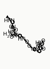 NC(=O)c1nn(-c2ccc(CNCCOCCOCCN3CCN(c4cccc5c4C(=O)N(C4CCC(=O)NC4=O)C5=O)CC3)cc2)cc1NC(=O)c1coc(-c2ccnc(NCC3CC3)c2)n1